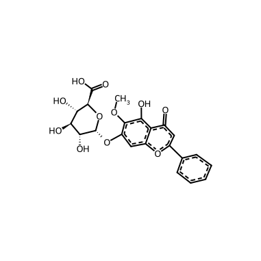 COc1c(O[C@H]2O[C@H](C(=O)O)[C@@H](O)[C@H](O)[C@H]2O)cc2oc(-c3ccccc3)cc(=O)c2c1O